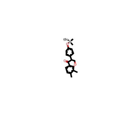 Cc1ccc2c(c1C)OCC(c1ccc(O[Si](C)(C)C(C)(C)C)cc1)C2=O